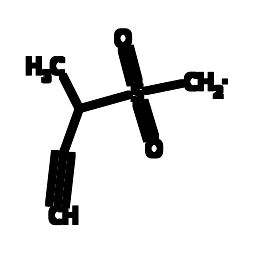 C#CC(C)S([CH2])(=O)=O